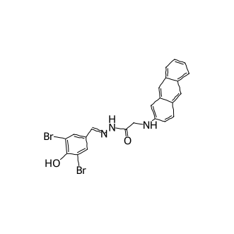 O=C(CNc1ccc2cc3ccccc3cc2c1)N/N=C/c1cc(Br)c(O)c(Br)c1